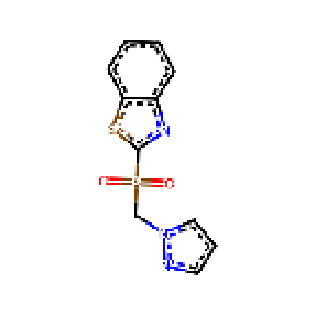 O=S(=O)(Cn1cccn1)c1nc2ccccc2s1